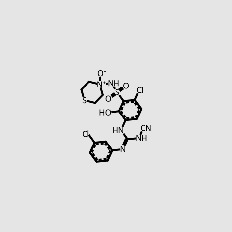 N#CNC(=Nc1cccc(Cl)c1)Nc1ccc(Cl)c(S(=O)(=O)N[N+]2([O-])CCSCC2)c1O